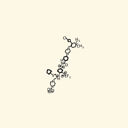 CC1(C)CCC(CN2CCN(c3ccc(C(=O)NS(=O)(=O)c4ccc(N[C@H](CCN5CCN(C(=O)OC(C)(C)C)CC5)CSc5ccccc5)c(S(=O)(=O)C(F)(F)F)c4)cc3)CC2)=C(C23CC(Cl)(C2)C3)C1